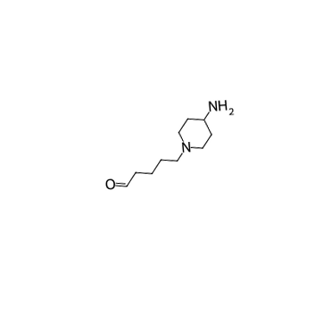 NC1CCN(CCCCC=O)CC1